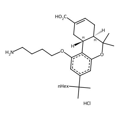 CCCCCCC(C)(C)c1cc(OCCCCN)c2c(c1)OC(C)(C)[C@@H]1CC=C(C(=O)O)C[C@@H]21.Cl